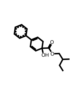 CCC(C)COC(=O)C1(O)C=CC(c2ccccc2)=CC1